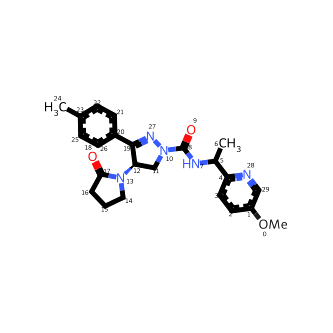 COc1ccc(C(C)NC(=O)N2C[C@@H](N3CCCC3=O)C(c3ccc(C)cc3)=N2)nc1